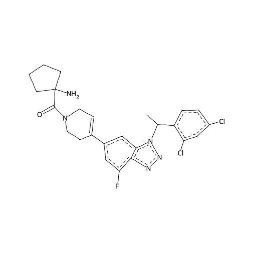 CC(c1ccc(Cl)cc1Cl)n1nnc2c(F)cc(C3=CCN(C(=O)C4(N)CCCC4)CC3)cc21